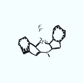 CP1C2=Cc3ccccc3[CH]2[Zr+2][CH]2C1=Cc1ccccc12.[F-].[F-]